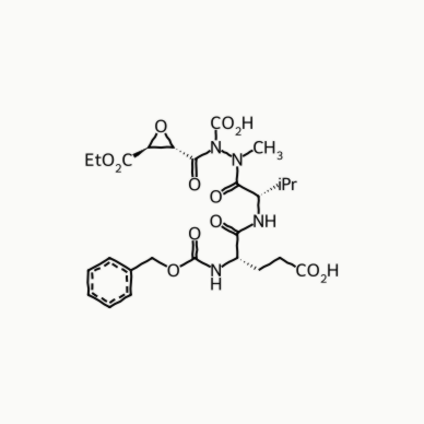 CCOC(=O)[C@H]1O[C@@H]1C(=O)N(C(=O)O)N(C)C(=O)[C@@H](NC(=O)[C@H](CCC(=O)O)NC(=O)OCc1ccccc1)C(C)C